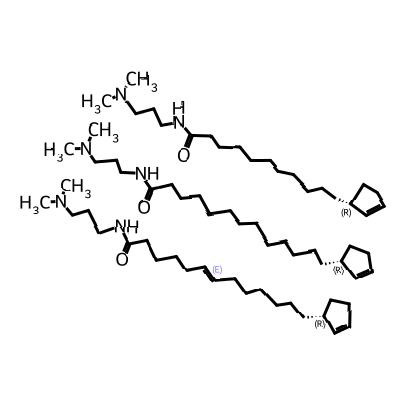 CN(C)CCCNC(=O)CCCC/C=C/CCCCCC[C@H]1C=CCC1.CN(C)CCCNC(=O)CCCCCCCCCCCC[C@H]1C=CCC1.CN(C)CCCNC(=O)CCCCCCCCCC[C@H]1C=CCC1